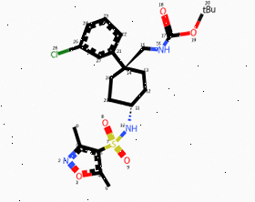 Cc1noc(C)c1S(=O)(=O)N[C@H]1CC[C@@](CNC(=O)OC(C)(C)C)(c2cccc(Cl)c2)CC1